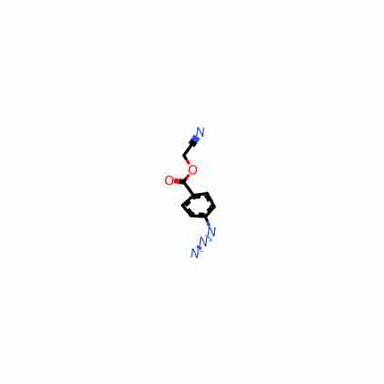 N#CCOC(=O)c1ccc(N=[N+]=[N-])cc1